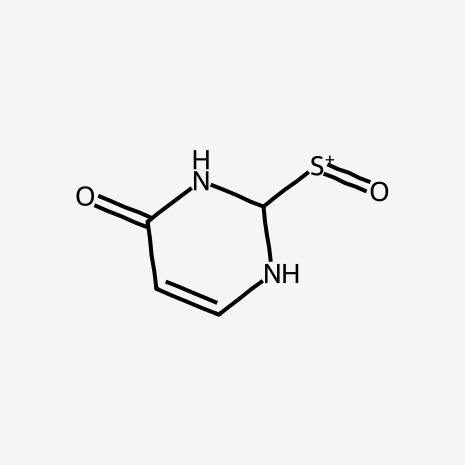 O=[S+]C1NC=CC(=O)N1